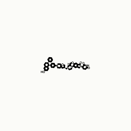 O=C1CC[C@H](N2Cc3cc4c(cc3C2=O)OC[C@@H]2CN(C[C@H]3COC5(CCN(c6ccc([C@@H]7c8ccc(O)cc8CC[C@@H]7c7ccccc7)cc6)CC5)C3)CCN42)C(=O)N1